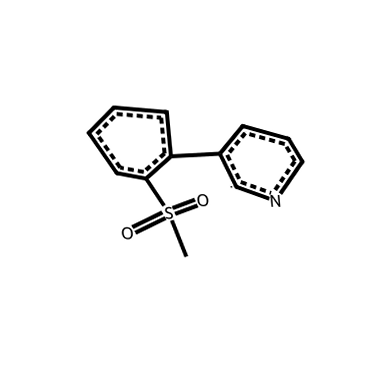 CS(=O)(=O)c1ccccc1-c1[c]nccc1